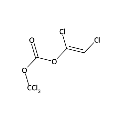 O=C(OC(Cl)=CCl)OC(Cl)(Cl)Cl